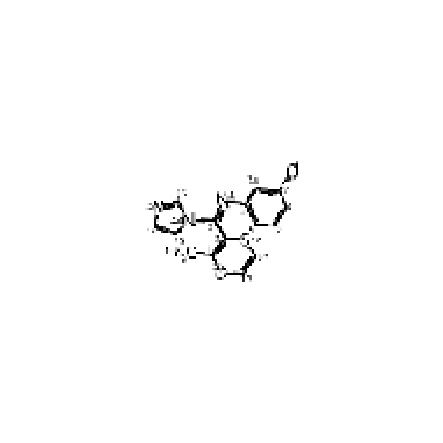 CC1=C(/C(=N\c2cccc(Cl)c2)n2ccnc2)SC=CO1